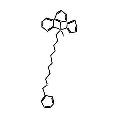 IP(CCCCCCCCCOCc1ccccc1)(c1ccccc1)(c1ccccc1)c1ccccc1